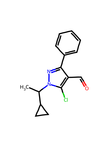 CC(C1CC1)n1nc(-c2ccccc2)c(C=O)c1Cl